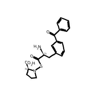 N[C@@H](Cc1cccc(C(=O)c2ccccc2)c1)C(=O)SN1CCC[C@H]1C(=O)O